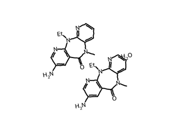 CCN1c2ncc(N)cc2C(=O)N(C)c2cccnc21.CCN1c2ncc(N)cc2C(=O)N(C)c2cccnc21.O